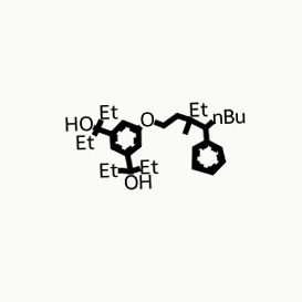 CCCCC(c1ccccc1)C(C)(CC)CCOc1cc(C(O)(CC)CC)cc(C(O)(CC)CC)c1